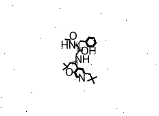 CC(=O)N[C@@H](Cc1ccccc1)[C@@H](O)CN[C@H]1CC(C)(C)Oc2cnc(CC(C)(C)C)cc21